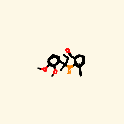 CCC(C)(Pc1c(C)cccc1C=O)c1cccc(OC)c1OC